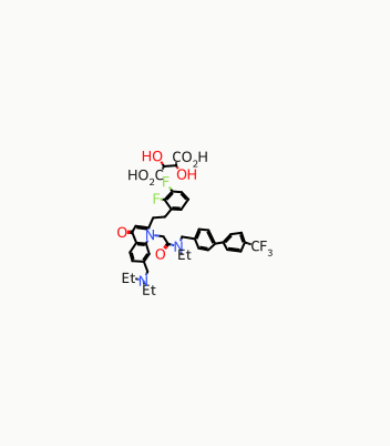 CCN(CC)Cc1ccc2c(=O)cc(CCc3cccc(F)c3F)n(CC(=O)N(CC)Cc3ccc(-c4ccc(C(F)(F)F)cc4)cc3)c2c1.O=C(O)C(O)C(O)C(=O)O